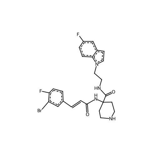 O=C(C=Cc1ccc(F)c(Br)c1)NC1(C(=O)NCCn2ccc3cc(F)ccc32)CCNCC1